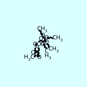 CCCCOC1C(OCCCC)[C@H](OCCCC)C(COC(=O)N2CCC3(CC2)CC(=O)N(CC)C3=O)O[C@H]1OCCCC